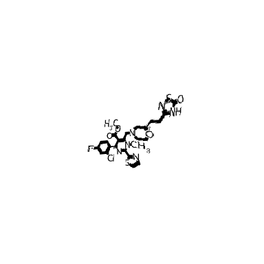 COC(=O)C1=C(CN2CCO[C@H](CCc3nsc(=O)[nH]3)C2)N(C)C(c2nccs2)=N[C@H]1c1ccc(F)cc1Cl